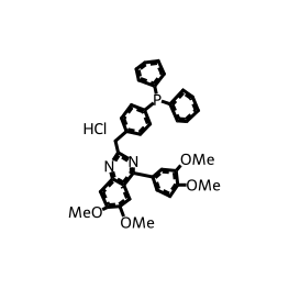 COc1ccc(-c2nc(Cc3ccc(P(c4ccccc4)c4ccccc4)cc3)nc3cc(OC)c(OC)cc23)cc1OC.Cl